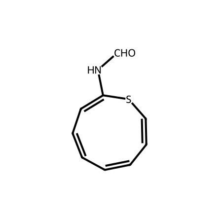 O=CNc1cccccccs1